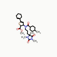 COC(=O)C1SC(C2=CCCCC2)=CC1N(CCCC1(C)C(=O)N(C)C(=O)N1C)C(=O)C1CCC(C)CC1